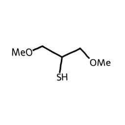 COCC(S)COC